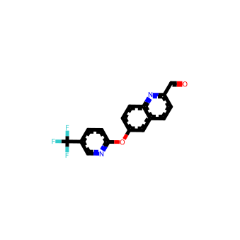 O=Cc1ccc2cc(Oc3ccc(C(F)(F)F)cn3)ccc2n1